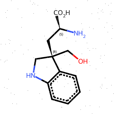 N[C@@H](C[C@]1(CO)CNc2ccccc21)C(=O)O